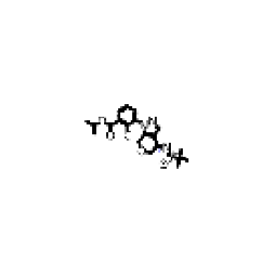 CC(C)OC(=O)c1cccc(-n2ncc3c2COC/C3=N\[S@@+]([O-])C(C)(C)C)c1Cl